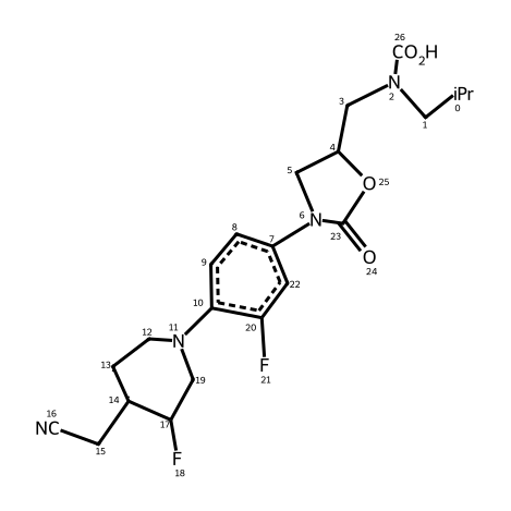 CC(C)CN(CC1CN(c2ccc(N3C[CH][C](CC#N)C(F)C3)c(F)c2)C(=O)O1)C(=O)O